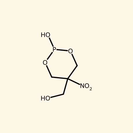 O=[N+]([O-])C1(CO)COP(O)OC1